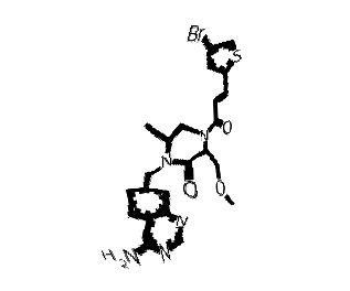 COCC1C(=O)N(Cc2ccc3c(N)ncnc3c2)C(C)CN1C(=O)/C=C/c1cc(Br)cs1